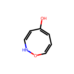 Oc1ccco[nH]cc1